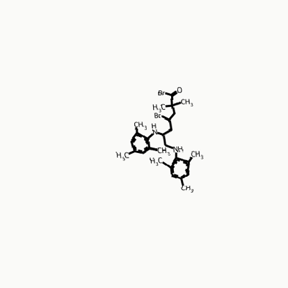 Cc1cc(C)c(NCC(CC(Br)CC(C)(C)C(=O)Br)Nc2c(C)cc(C)cc2C)c(C)c1